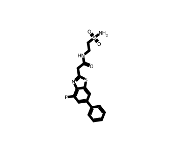 NS(=O)(=O)CCNC(=O)Cc1nc2c(F)cc(-c3ccccc3)cc2s1